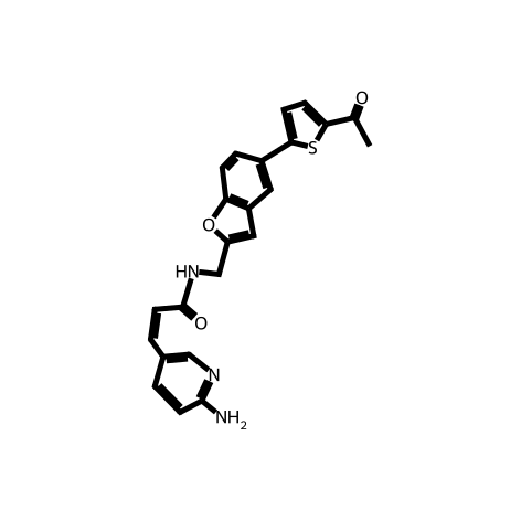 CC(=O)c1ccc(-c2ccc3oc(CNC(=O)/C=C\c4ccc(N)nc4)cc3c2)s1